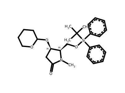 CN1C(=O)C[C@@H](OC2CCCCO2)[C@H]1CO[Si](c1ccccc1)(c1ccccc1)C(C)(C)C